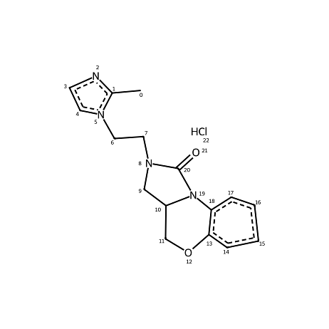 Cc1nccn1CCN1CC2COc3ccccc3N2C1=O.Cl